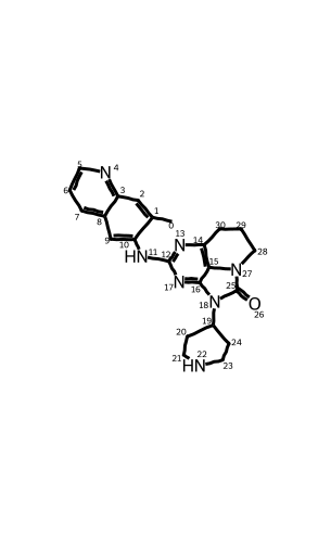 Cc1cc2ncccc2cc1Nc1nc2c3c(n1)n(C1CCNCC1)c(=O)n3CCC2